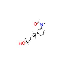 CC(=O)N(C)c1cccc([Si](C)(C)CC[Si](C)(C)O)c1